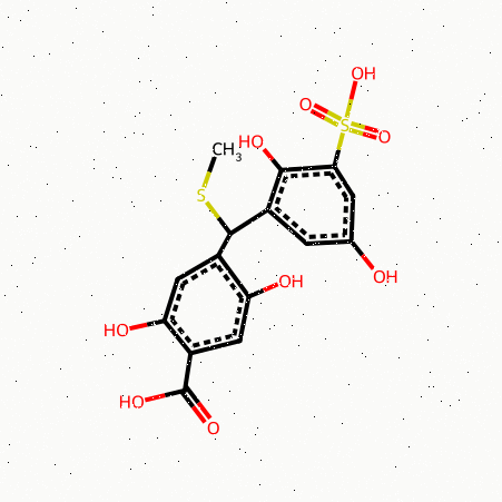 CSC(c1cc(O)c(C(=O)O)cc1O)c1cc(O)cc(S(=O)(=O)O)c1O